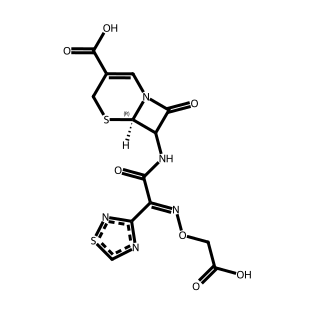 O=C(O)CON=C(C(=O)NC1C(=O)N2C=C(C(=O)O)CS[C@H]12)c1ncsn1